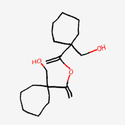 C=C(OC(=C)C1(CO)CCCCC1)C1(CO)CCCCC1